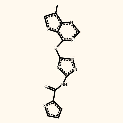 Cc1csc2c(Sc3nnc(NC(=O)c4cccs4)s3)ncnc12